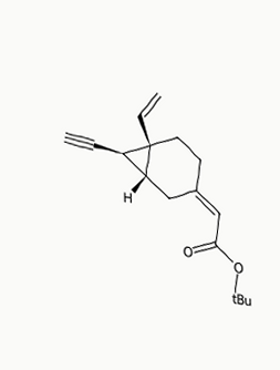 C#C[C@@H]1[C@H]2C/C(=C\C(=O)OC(C)(C)C)CC[C@@]12C=C